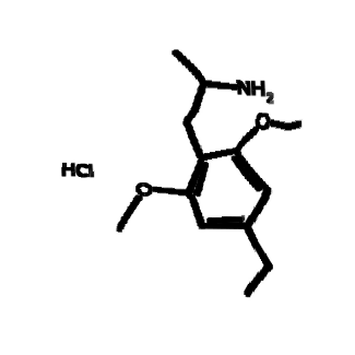 CCc1cc(OC)c(CC(C)N)c(OC)c1.Cl